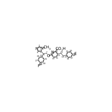 Cn1cncc1C(COc1ccc(CCc2ccc(F)cc2)c(C(=O)O)n1)c1ccc(F)cc1